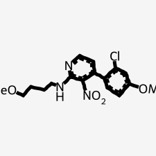 COCCCCNc1nccc(-c2ccc(OC)cc2Cl)c1[N+](=O)[O-]